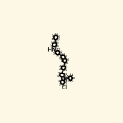 Clc1ccc2c3ccc(-c4ccc(-c5ccc6ccc(-c7ccc(Nc8ccc(-c9ccccc9)cc8)cc7)cc6c5)cc4)cc3n(-c3ccccc3)c2c1